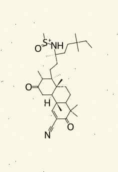 CCC(C)(C)CC[C@@](C)(CC[C@]1(C)C(C)C(=O)C[C@@H]2[C@@]3(C)C=C(C#N)C(=O)C(C)(C)C3CC[C@]21C)N[S+](C)[O-]